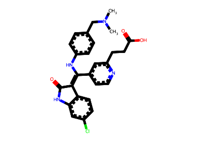 CN(C)Cc1ccc(N/C(=C2\C(=O)Nc3cc(Cl)ccc32)c2ccnc(CCC(=O)O)c2)cc1